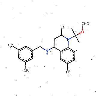 CCC1CC(NCc2cc(C(F)(F)F)cc(C(F)(F)F)c2)c2cc(C(F)(F)F)ccc2N1C(C)(C)OC=O